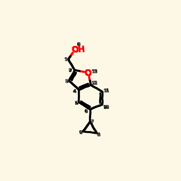 OCc1cc2cc(C3CC3)ccc2o1